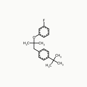 CC(C)(Cc1ccc(C(C)(C)C)cc1)Oc1cccc(F)c1